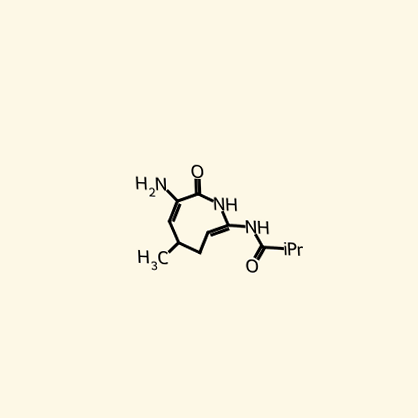 CC1/C=C(/N)C(=O)N/C(NC(=O)C(C)C)=C/C1